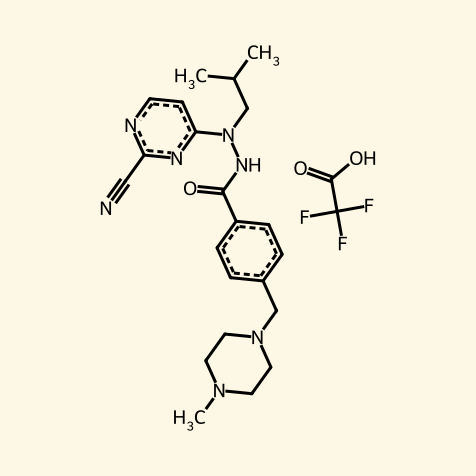 CC(C)CN(NC(=O)c1ccc(CN2CCN(C)CC2)cc1)c1ccnc(C#N)n1.O=C(O)C(F)(F)F